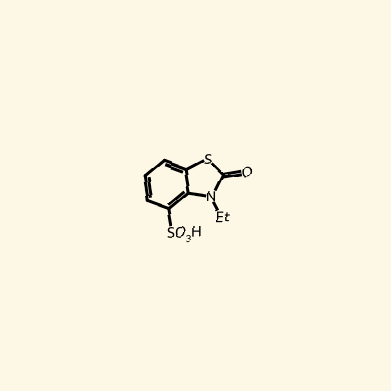 CCn1c(=O)sc2cccc(S(=O)(=O)O)c21